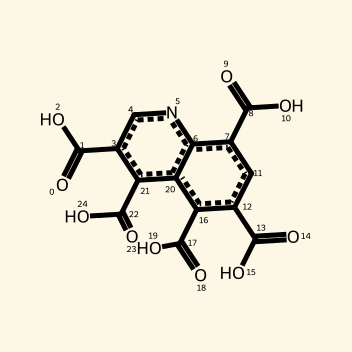 O=C(O)c1cnc2c(C(=O)O)cc(C(=O)O)c(C(=O)O)c2c1C(=O)O